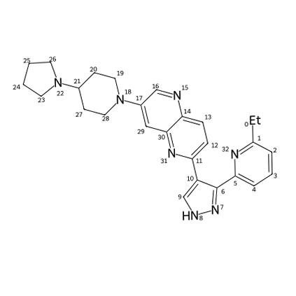 CCc1cccc(-c2n[nH]cc2-c2ccc3ncc(N4CCC(N5CCCC5)CC4)cc3n2)n1